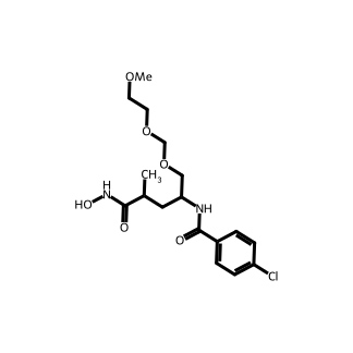 COCCOCOCC(CC(C)C(=O)NO)NC(=O)c1ccc(Cl)cc1